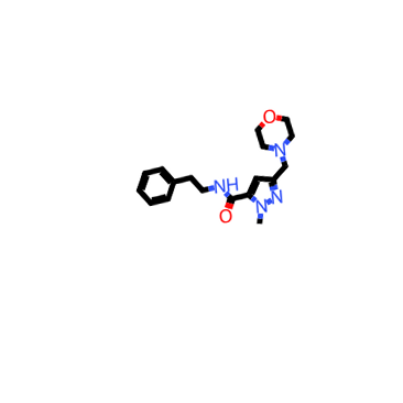 Cn1nc(CN2CCOCC2)cc1C(=O)NCCc1ccccc1